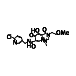 COCCN1CN(C)n2cc(C(=O)NCc3ccc(Cl)nc3)c(=O)c(O)c2C1=O